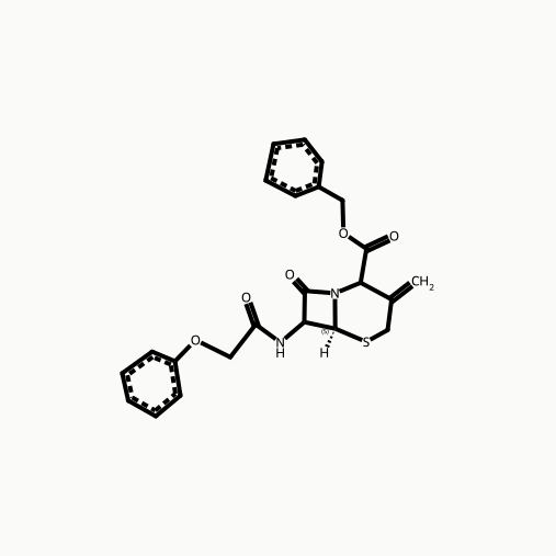 C=C1CS[C@H]2C(NC(=O)COc3ccccc3)C(=O)N2C1C(=O)OCc1ccccc1